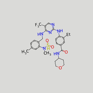 CCc1cc(C(=O)NC2CCOCC2)ccc1Nc1ncc(C(F)(F)F)c(NCc2ccc(C)cc2N(C)[SH](=O)=O)n1